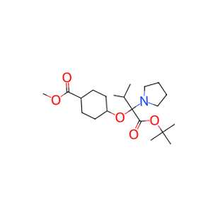 COC(=O)C1CCC(OC(C(=O)OC(C)(C)C)(C(C)C)N2CCCC2)CC1